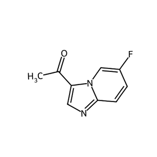 CC(=O)c1cnc2ccc(F)cn12